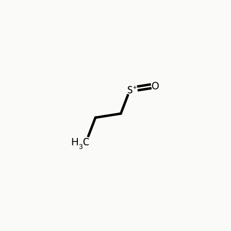 CCC[S+]=O